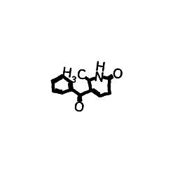 CC1NC(=O)CC=C1C(=O)c1ccccc1